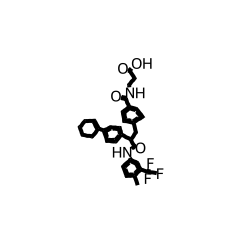 Cc1ccc(NC(=O)C(Cc2ccc(C(=O)NCCC(=O)O)cc2)c2ccc(C3=CCCCC3)cc2)cc1C(F)(F)F